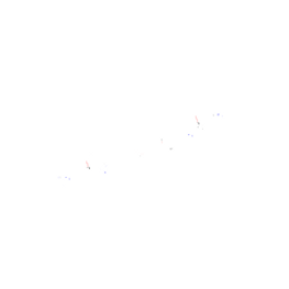 NCC(=O)NCCOOOCCNC(=O)CN